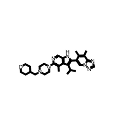 Cc1c(-c2[nH]c3cnc(N4CCN(CC5CCOCC5)CC4)c(C)c3c2C(C)C)cn2ncnc2c1C